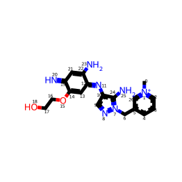 C[n+]1cccc(Cn2ncc(/N=C3\C=C(OCCO)C(=N)C=C3N)c2N)c1